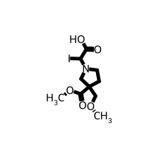 COCC1(C(=O)OC)CCN(C(I)C(=O)O)C1